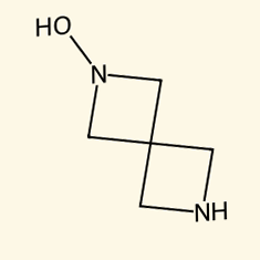 ON1CC2(CNC2)C1